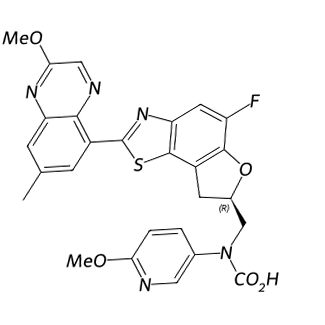 COc1ccc(N(C[C@H]2Cc3c(c(F)cc4nc(-c5cc(C)cc6nc(OC)cnc56)sc34)O2)C(=O)O)cn1